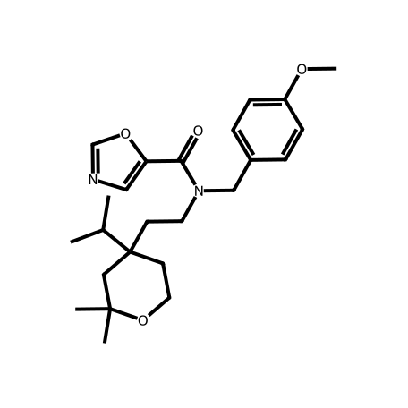 COc1ccc(CN(CCC2(C(C)C)CCOC(C)(C)C2)C(=O)c2cnco2)cc1